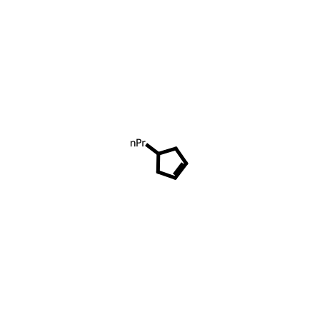 CCCC1CC=CC1